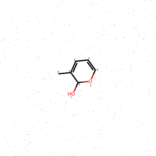 CC1=[C]C=COC1O